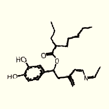 C=C(/C=C\N=C/C)CC(OC(=O)C(CCC)CCCCC)c1ccc(O)c(O)c1